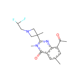 CC(=O)c1cc(C)cc2c(=O)n(C)c(C3(C)CN(CC(F)F)C3)nc12